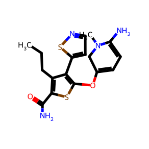 CCCc1c(C(N)=O)sc(OC2=CC=C(N)N(C)C2)c1-c1ccns1